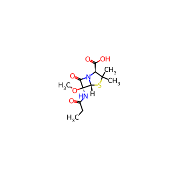 CCC(=O)N[C@]1(OC)C(=O)N2[C@@H](C(=O)O)C(C)(C)S[C@@H]21